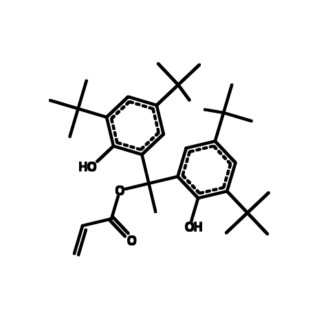 C=CC(=O)OC(C)(c1cc(C(C)(C)C)cc(C(C)(C)C)c1O)c1cc(C(C)(C)C)cc(C(C)(C)C)c1O